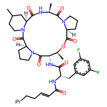 CC(C)CC/C=C/C(=O)N[C@@H](Cc1cc(F)cc(F)c1)C(=O)N[C@@H]1C(=O)N2CCC[C@H]2C(=O)N2CCC(C)C[C@H]2C(=O)N[C@@H](C)C(=O)N2CCC[C@H]2C(=O)O[C@H]1C